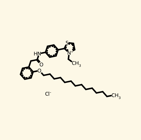 CCCCCCCCCCCCCCOc1ccccc1CC(=O)Nc1ccc(-c2scc[n+]2CC)cc1.[Cl-]